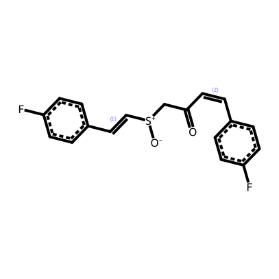 O=C(/C=C\c1ccc(F)cc1)C[S+]([O-])/C=C/c1ccc(F)cc1